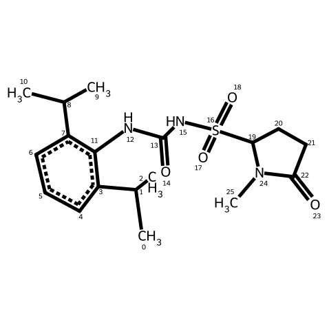 CC(C)c1cccc(C(C)C)c1NC(=O)NS(=O)(=O)C1CCC(=O)N1C